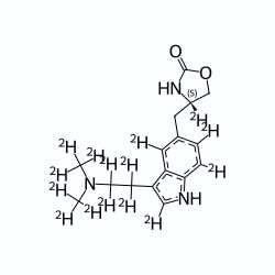 [2H]c1[nH]c2c([2H])c([2H])c(C[C@@]3([2H])COC(=O)N3)c([2H])c2c1C([2H])([2H])C([2H])([2H])N(C([2H])([2H])[2H])C([2H])([2H])[2H]